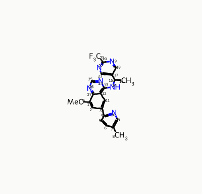 COc1cc(-c2ccc(C)cn2)cc2c(NC(C)c3cnc(C(F)(F)F)nc3)ncnc12